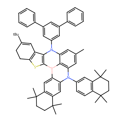 Cc1cc2c3c(c1)N(c1cc(-c4ccccc4)cc(-c4ccccc4)c1)c1c(sc4c1C=C(C(C)(C)C)CC4)B3c1cc3c(cc1N2c1ccc2c(c1)C(C)(C)CCC2(C)C)C(C)(C)CCC3(C)C